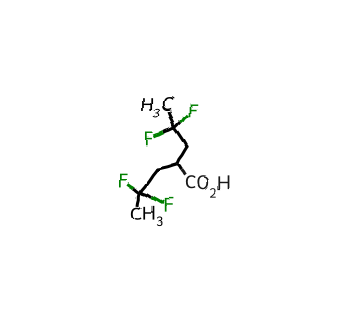 CC(F)(F)CC(CC(C)(F)F)C(=O)O